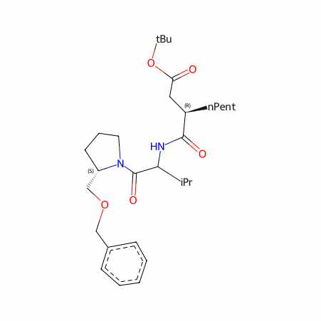 CCCCC[C@H](CC(=O)OC(C)(C)C)C(=O)NC(C(=O)N1CCC[C@H]1COCc1ccccc1)C(C)C